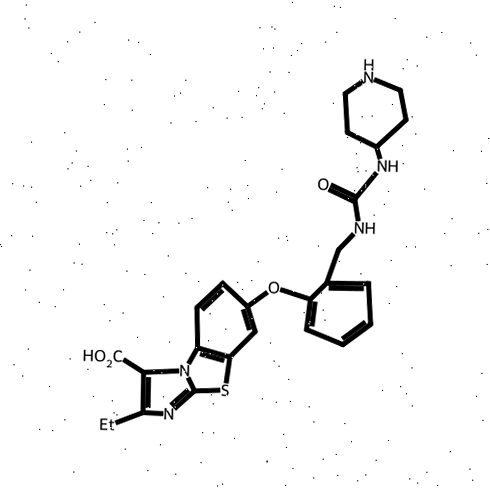 CCc1nc2sc3cc(Oc4ccccc4CNC(=O)NC4CCNCC4)ccc3n2c1C(=O)O